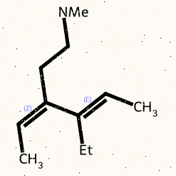 C/C=C(CCNC)\C(=C\C)CC